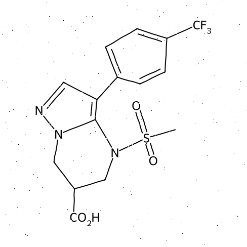 CS(=O)(=O)N1CC(C(=O)O)Cn2ncc(-c3ccc(C(F)(F)F)cc3)c21